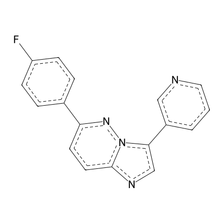 Fc1ccc(-c2ccc3ncc(-c4cccnc4)n3n2)cc1